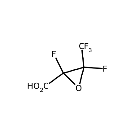 O=C(O)C1(F)OC1(F)C(F)(F)F